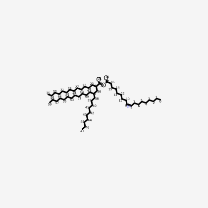 CCCCCCCC/C=C\CCCCCCCC(=O)OC(=O)C(CCCCCCCCCCCCC)CC(CCCCCCCCCC)CCCCCCCCCCCC